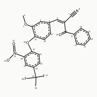 COc1cc(C=C(C#N)C(=O)c2ccccc2)ccc1Oc1ccc(C(F)(F)F)cc1[N+](=O)[O-]